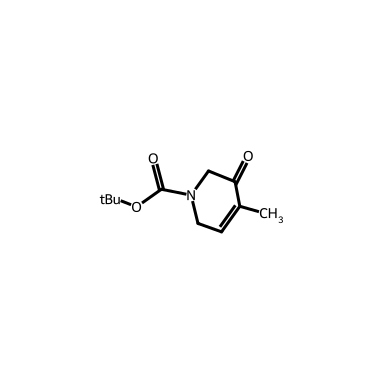 CC1=CCN(C(=O)OC(C)(C)C)CC1=O